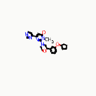 Cn1c(N2CCOC(c3cccc(OC4CCCC4)c3)C2)nc(-c2ccncn2)cc1=O